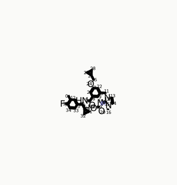 Cc1cc([C@@H](NC(=O)c2cc(Cn3ccn(C)/c3=N\C(=O)O)cc(OCC3CC3)c2)C2CC2)ccc1F